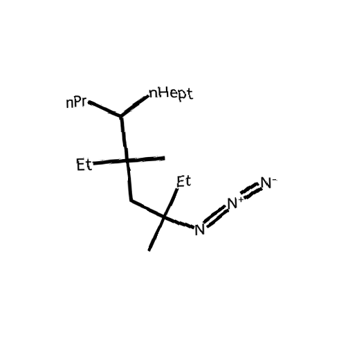 CCCCCCCC(CCC)C(C)(CC)CC(C)(CC)N=[N+]=[N-]